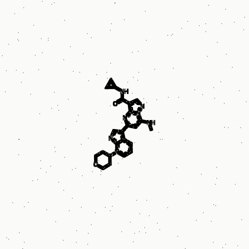 CNc1cc(-c2cnc3n(C4CCOCC4)cccc2-3)nc2c(C(=O)NC3CC3)cnn12